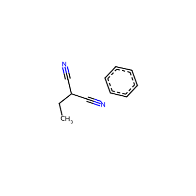 CCC(C#N)C#N.c1ccccc1